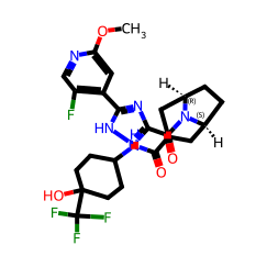 COc1cc(-c2nc(C(=O)N3[C@@H]4CC[C@H]3CC(C(=O)NC3CCC(O)(C(F)(F)F)CC3)C4)n[nH]2)c(F)cn1